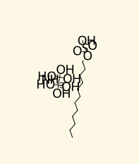 CCCCCCCCCCCCOS(=O)(=O)O.N.OC(O)(O)C(O)(O)O